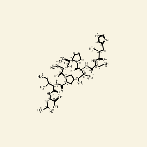 CC[C@H](C)[C@H](NC(=O)[C@@H]1CCCN1C(=O)[C@@H](NC(=O)[C@@H]1CCCN1C(=O)[C@@H](NC(=O)[C@H](CO)NC(=O)[C@@H](N)Cc1c[nH]cn1)[C@@H](C)CC)[C@@H](C)O)C(=O)N[C@@H](CC(C)C)C(=O)O